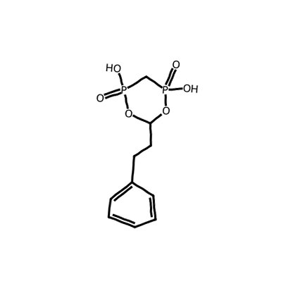 O=P1(O)CP(=O)(O)OC(CCc2ccccc2)O1